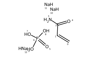 C=CC(N)=O.O=P(O)(O)O.[NaH].[NaH].[NaH]